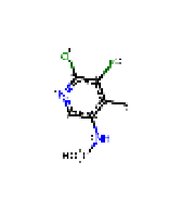 Cc1c(NC(=O)O)cnc(Cl)c1F